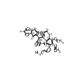 COc1cc2c(c(OC)c1OC)CCNC2C(O)c1ccc2c(c1)OCO2